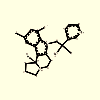 Cc1cc(F)c2c(c1)c1c(n2CC(C)(O)c2cccnc2)CCN2CCC[C@H]12